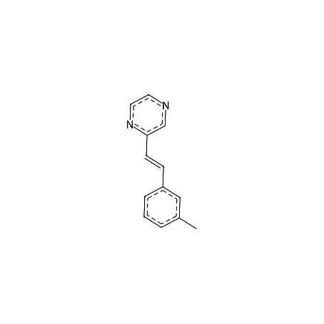 Cc1cccc(/C=C/c2cnccn2)c1